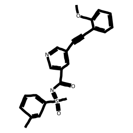 COc1ccccc1C#Cc1cncc(C(=O)N=S(C)(=O)c2cccc(C)c2)c1